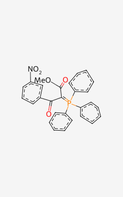 COC(=O)C(C(=O)c1cccc([N+](=O)[O-])c1)=P(c1ccccc1)(c1ccccc1)c1ccccc1